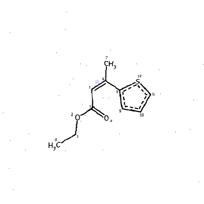 CCOC(=O)/C=C(/C)c1cccs1